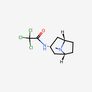 CN1[C@@H]2CC[C@H]1C[C@@H](NC(=O)C(Cl)(Cl)Cl)C2